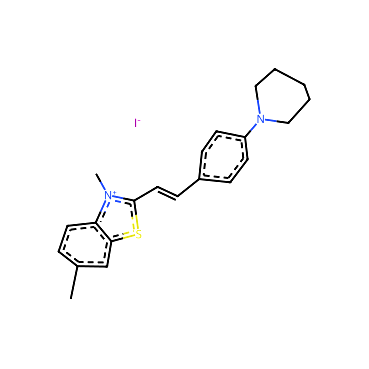 Cc1ccc2c(c1)sc(C=Cc1ccc(N3CCCCC3)cc1)[n+]2C.[I-]